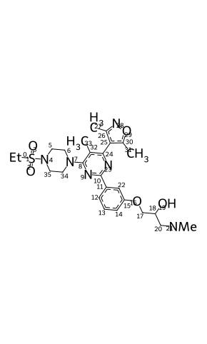 CCS(=O)(=O)N1CCN(c2nc(-c3cccc(OCC(O)CNC)c3)nc(-c3c(C)noc3C)c2C)CC1